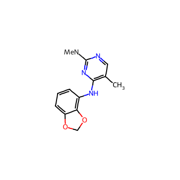 CNc1ncc(C)c(Nc2cccc3c2OCO3)n1